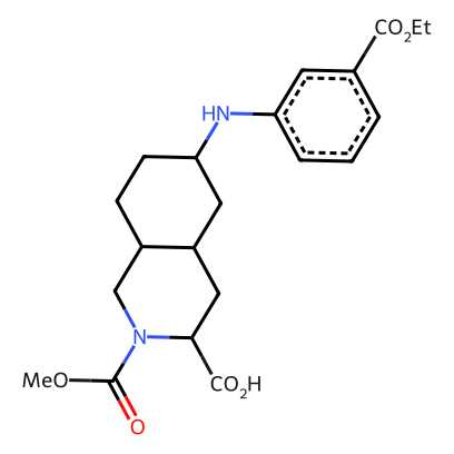 CCOC(=O)c1cccc(NC2CCC3CN(C(=O)OC)C(C(=O)O)CC3C2)c1